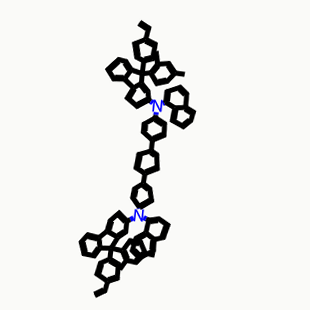 C=Cc1ccc(C2(c3ccc(C)cc3C)c3ccccc3-c3ccc(N(c4ccc(-c5ccc(-c6ccc(N(c7ccc8c(c7)C(c7ccc(C=C)cc7)(c7ccc(C)cc7C)c7ccccc7-8)c7cccc8ccccc78)cc6)cc5)cc4)c4cccc5ccccc45)cc32)cc1